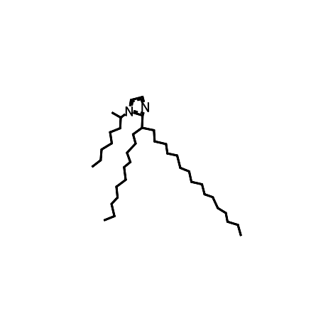 CCCCCCCCCCCCCCCCC(CCCCCCCCCCC)c1nccn1C(C)CCCCCC